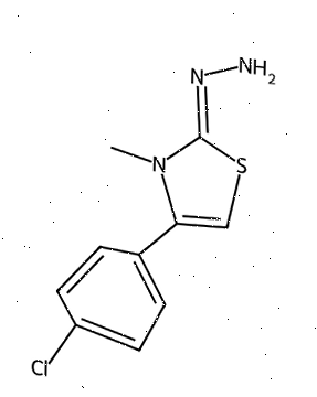 Cn1c(-c2ccc(Cl)cc2)csc1=NN